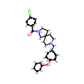 O=C(c1ccc(Cl)cc1)N1CCC2(CCN(Cc3ccc(Oc4ccccc4)cc3)CC2)C1